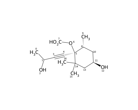 CC(O)C#C[C@]1(OC(=O)O)[C@H](C)C[C@@H](O)CC1(C)C